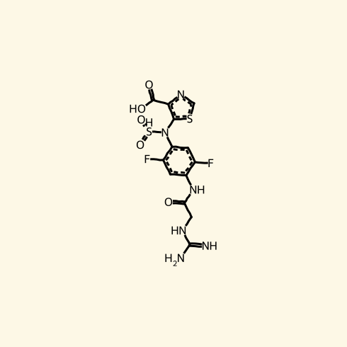 N=C(N)NCC(=O)Nc1cc(F)c(N(c2scnc2C(=O)O)[SH](=O)=O)cc1F